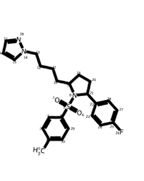 Cc1ccc(S(=O)(=O)N2C(CCCCn3cccn3)CCC2c2ccc(F)cc2)cc1